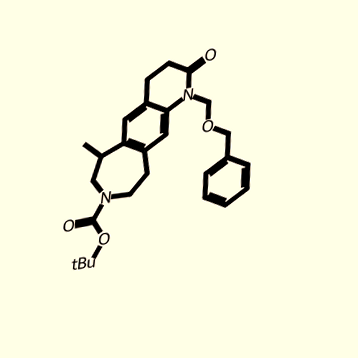 CC1CN(C(=O)OC(C)(C)C)CCc2cc3c(cc21)CCC(=O)N3COCc1ccccc1